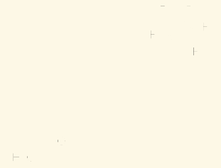 CCCOCCCCCCCCCCCCc1c(F)c(F)c(F)c(F)c1F